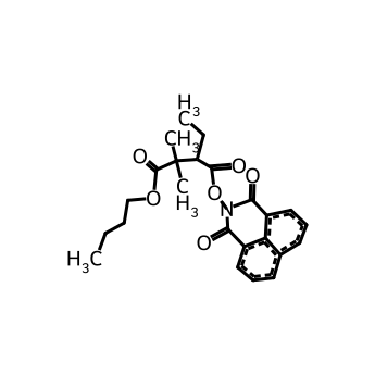 CCCCOC(=O)C(C)(C)C(CC)C(=O)ON1C(=O)c2cccc3cccc(c23)C1=O